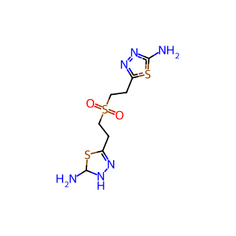 Nc1nnc(CCS(=O)(=O)CCC2=NNC(N)S2)s1